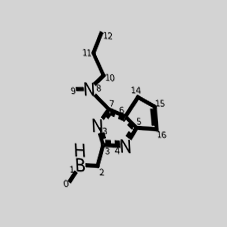 CBCc1nc2c(c(N(C)CCC)n1)CC=C2